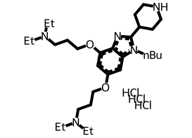 CCCCn1c(C2CCNCC2)nc2c(OCCCN(CC)CC)cc(OCCCN(CC)CC)cc21.Cl.Cl.Cl